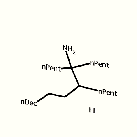 CCCCCCCCCCCCC(CCCCC)C(N)(CCCCC)CCCCC.I